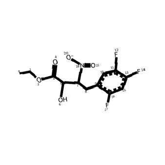 CCOC(=O)C(O)C(Cc1cc(F)c(F)cc1F)[N+](=O)[O-]